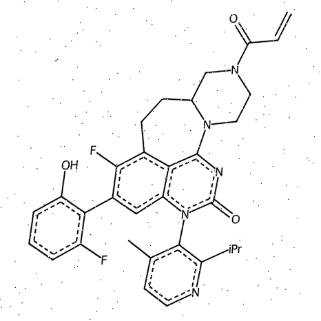 C=CC(=O)N1CCN2c3nc(=O)n(-c4c(C)ccnc4C(C)C)c4cc(-c5c(O)cccc5F)c(F)c(c34)CCC2C1